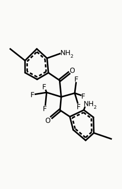 Cc1ccc(C(=O)C(C(=O)c2ccc(C)cc2N)(C(F)(F)F)C(F)(F)F)c(N)c1